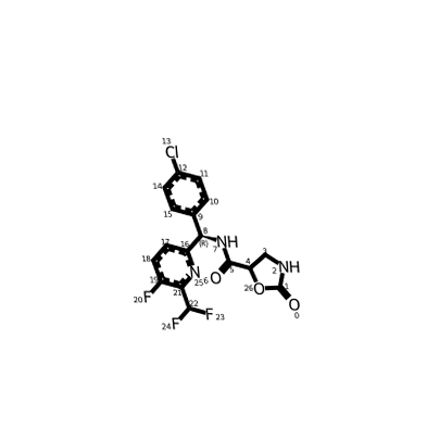 O=C1NCC(C(=O)N[C@H](c2ccc(Cl)cc2)c2ccc(F)c(C(F)F)n2)O1